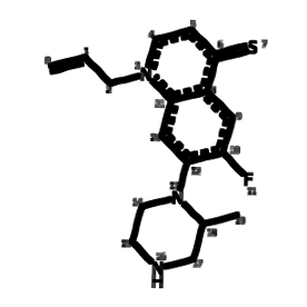 C=CCn1ccc(=S)c2cc(F)c(N3CCNCC3C)cc21